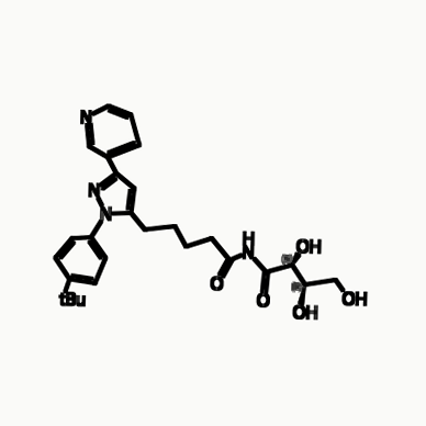 CC(C)(C)c1ccc(-n2nc(-c3cccnc3)cc2CCCCC(=O)NC(=O)[C@@H](O)[C@H](O)CO)cc1